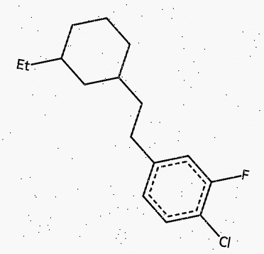 CCC1CCCC(CCc2ccc(Cl)c(F)c2)C1